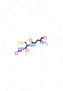 N[C@@H](C=O)CCC(=O)N[C@H](CS)C(=O)NCC=O